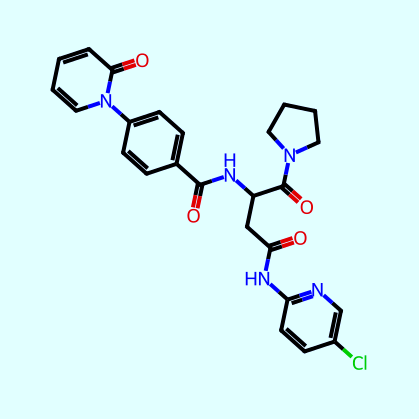 O=C(CC(NC(=O)c1ccc(-n2ccccc2=O)cc1)C(=O)N1CCCC1)Nc1ccc(Cl)cn1